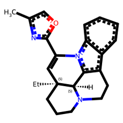 CC[C@@]12C=C(c3nc(C)co3)n3c4c(c5ccccc53)CCN(CCC1)[C@H]42